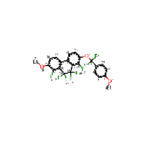 CCOc1ccc(C(F)(F)Oc2ccc3c(c2F)C(F)(F)C(F)(F)c2c-3ccc(OCC)c2F)cc1